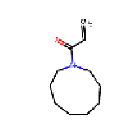 C=CC(=O)N1CCCCCCCC1